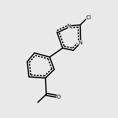 CC(=O)c1cccc(-c2cnc(Cl)nc2)c1